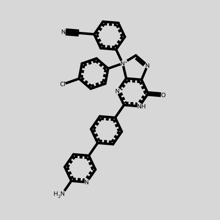 N#Cc1cccc([N+]2(c3ccc(Cl)cc3)C=Nc3c2nc(-c2ccc(-c4ccc(N)nc4)cc2)[nH]c3=O)c1